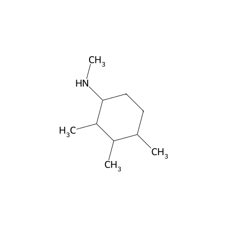 CNC1CCC(C)C(C)C1C